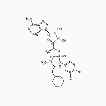 C[C@H](NP(=O)(Oc1ccc(F)c(Cl)c1)O[C@@H](C)[C@H]1O[C@@H](n2cnc3c(N)ncnc32)[C@H](O)[C@@H]1O)C(=O)OC1CCCCC1